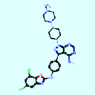 CN1CCN([C@H]2CC[C@@H](n3nc(-c4ccc(Nc5nc6cc(Cl)cc(Cl)c6o5)cc4)c4c(N)ncnc43)CC2)CC1